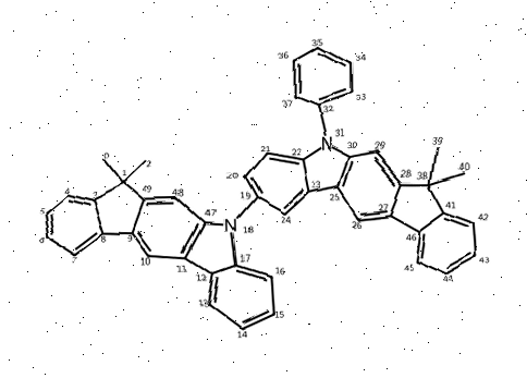 CC1(C)c2ccccc2-c2cc3c4ccccc4n(-c4ccc5c(c4)c4cc6c(cc4n5-c4ccccc4)C(C)(C)c4ccccc4-6)c3cc21